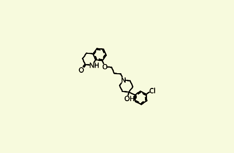 O=C1CCc2cccc(OCCCN3CCC(O)(c4cccc(Cl)c4)CC3)c2N1